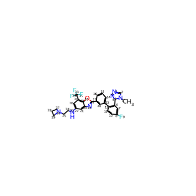 Cn1cnnc1-c1cc(F)ccc1-c1cccc(-c2nc3cc(NCCN4CCC4)cc(C(F)(F)F)c3o2)c1